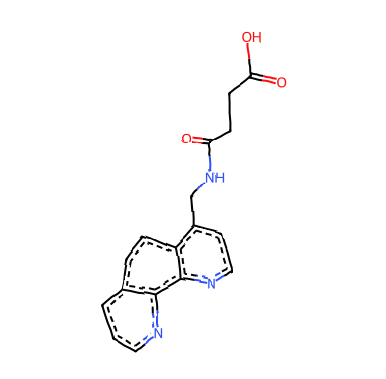 O=C(O)CCC(=O)NCc1ccnc2c1ccc1cccnc12